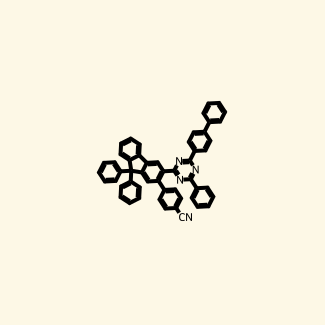 N#Cc1ccc(-c2cc3c(cc2-c2nc(-c4ccccc4)nc(-c4ccc(-c5ccccc5)cc4)n2)-c2ccccc2C3(c2ccccc2)c2ccccc2)cc1